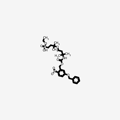 CCOP(=O)(O)CCC(C)(C)OCCC(C)(C)NC(=O)OCc1cc(OCc2ccccc2)ccc1[N+](=O)[O-]